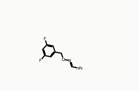 CCCC=NOCc1cc(F)cc(F)c1